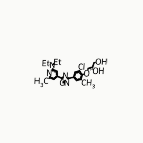 CCN(CC)c1cc(-c2nc(-c3cc(C)c(OC[C@@H](O)CO)c(Cl)c3)no2)cc(C)n1